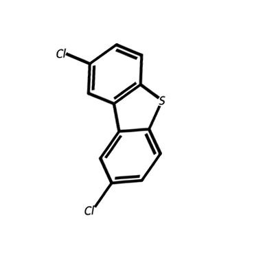 Clc1ccc2sc3ccc(Cl)cc3c2c1